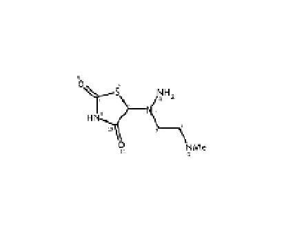 CNCCN(N)C1SC(=O)NC1=O